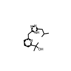 CC(C)Cc1nnc(Cc2cccc(C(C)(C)O)n2)[nH]1